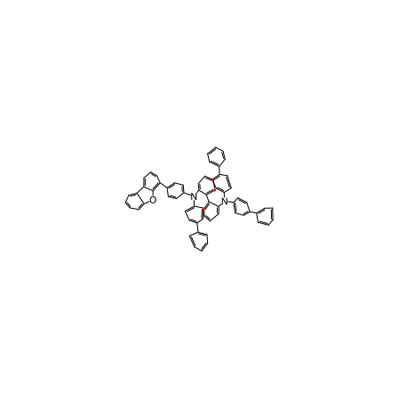 c1ccc(-c2ccc(N(c3ccc(-c4ccccc4)cc3)c3ccccc3-c3ccccc3N(c3ccc(-c4ccccc4)cc3)c3ccc(-c4cccc5c4oc4ccccc45)cc3)cc2)cc1